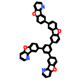 c1cnc2c(c1)oc1ccc(-c3cc(-c4ccc5oc6ccc(-c7ccc8oc9cccnc9c8c7)cc6c5c4)cc(-c4ccc5oc6cccnc6c5c4)c3)cc12